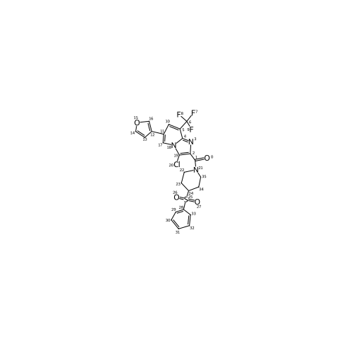 O=C(c1nc2c(C(F)(F)F)cc(-c3ccoc3)cn2c1Cl)N1CCC(S(=O)(=O)c2ccccc2)CC1